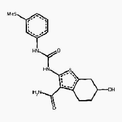 CSc1cccc(NC(=O)Nc2sc3c(c2C(N)=O)CCC(O)C3)c1